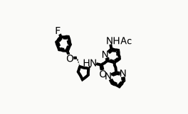 CC(=O)Nc1ccc(-c2ncccn2)c(C(=O)N[C@H]2CCC[C@@H]2COc2ccc(F)cc2)n1